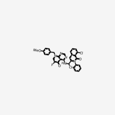 COc1ccc(Cn2cc(F)c(=O)c3c(NC(C)c4cc5cccc(Cl)c5c(=O)n4-c4ccccc4)ncnc32)cc1